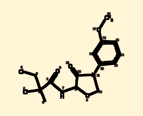 CC(Cl)(CCl)C(=O)NC1OCN(c2cccc(OC(F)(F)F)c2)C1=O